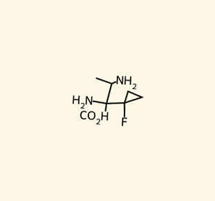 CC(N)C(N)(C(=O)O)C1(F)CC1